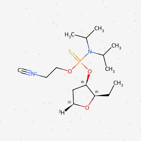 [3H][C@H]1C[C@@H](OP(=S)(OCC[N+]#[C-])N(C(C)C)C(C)C)[C@@H](CC)O1